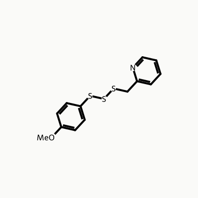 COc1ccc(SSSCc2ccccn2)cc1